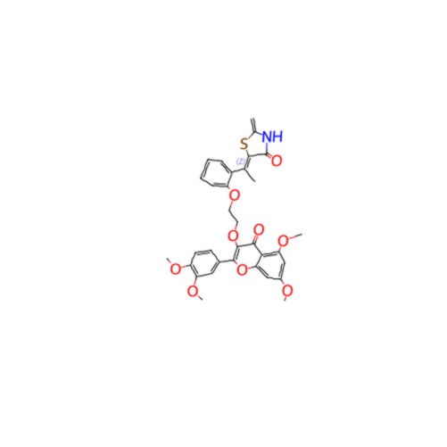 C=c1[nH]c(=O)/c(=C(\C)c2ccccc2OCCOc2c(-c3ccc(OC)c(OC)c3)oc3cc(OC)cc(OC)c3c2=O)s1